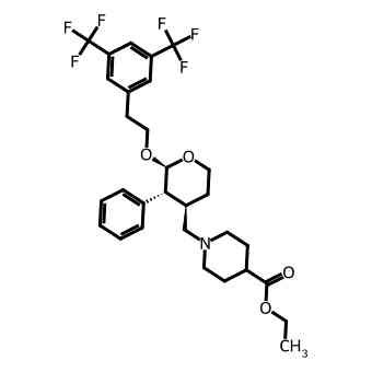 CCOC(=O)C1CCN(C[C@@H]2CCO[C@H](OCCc3cc(C(F)(F)F)cc(C(F)(F)F)c3)[C@H]2c2ccccc2)CC1